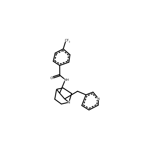 O=C(NC1C2CCN(CC2)C1Cc1cccnc1)c1ccc(C(F)(F)F)cc1